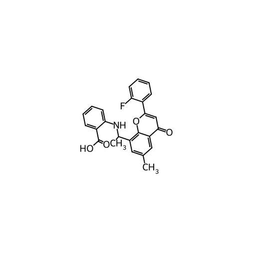 Cc1cc(C(C)Nc2ccccc2C(=O)O)c2oc(-c3ccccc3F)cc(=O)c2c1